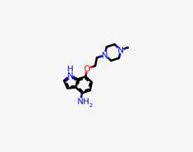 CN1CCN(CCOc2ccc(N)c3cc[nH]c23)CC1